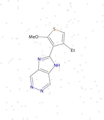 CCc1csc(OC)c1-c1nc2cnncc2[nH]1